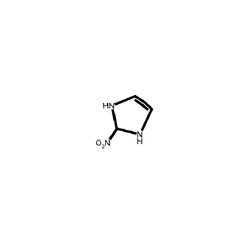 O=[N+]([O-])C1NC=CN1